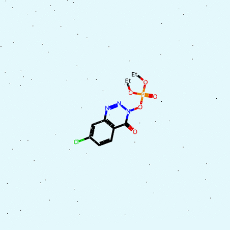 CCOP(=O)(OCC)On1nnc2cc(Cl)ccc2c1=O